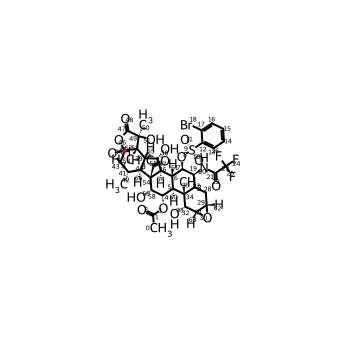 CC(=O)O[C@H]1[C@H]2[C@@H]([C@@H](OS(=O)(=O)c3ccccc3Br)[C@@H](NC(=O)C(F)(F)F)C3C[C@@H]4O[C@@H]4[C@H](O)[C@@]32C)[C@@H]2[C@@H](O)[C@@H]3[C@H]([C@H](C)[C@H]4O[C@]45OC(=O)[C@@](C)(O)[C@]35C)[C@@]2(C(C)=O)[C@H]1O